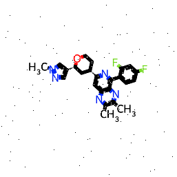 Cc1nc2cc([C@H]3CCO[C@@H](c4cnn(C)c4)C3)nc(-c3ccc(F)cc3F)c2nc1C